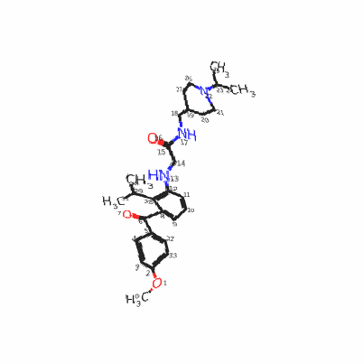 COc1ccc(C(=O)c2cccc(NCC(=O)NCC3CCN(C(C)C)CC3)c2C(C)C)cc1